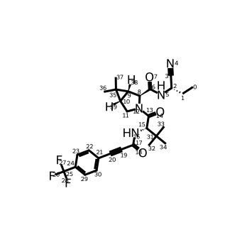 CC[C@@H](C#N)NC(=O)[C@@H]1[C@@H]2[C@H](CN1C(=O)[C@@H](NC(=O)C#Cc1ccc(C(F)(F)F)cc1)C(C)(C)C)C2(C)C